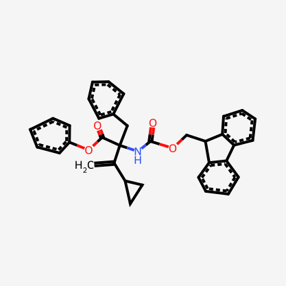 C=C(C1CC1)C(Cc1ccccc1)(NC(=O)OCC1c2ccccc2-c2ccccc21)C(=O)Oc1ccccc1